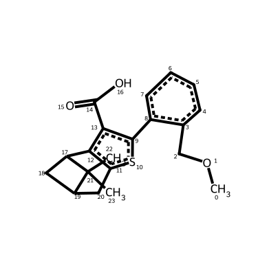 COCc1ccccc1-c1sc2c(c1C(=O)O)C1CC(C2)C1(C)C